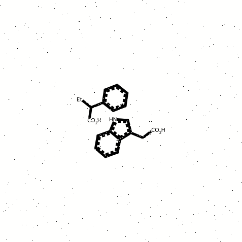 CCC(C(=O)O)c1ccccc1.O=C(O)Cc1c[nH]c2ccccc12